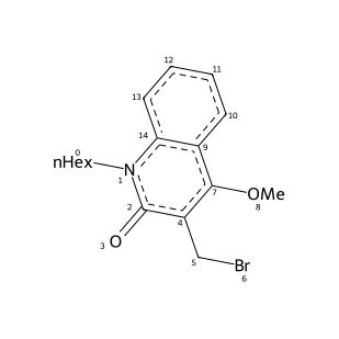 CCCCCCn1c(=O)c(CBr)c(OC)c2ccccc21